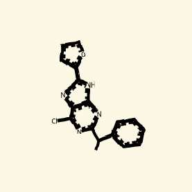 CC(c1ccccc1)c1nc(Cl)c2nc(-c3ccco3)[nH]c2n1